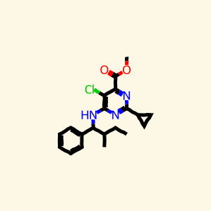 CCC(C)C(Nc1nc(C2CC2)nc(C(=O)OC)c1Cl)c1ccccc1